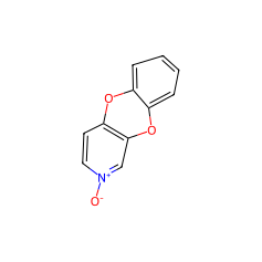 [O-][n+]1ccc2c(c1)Oc1ccccc1O2